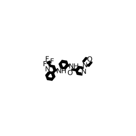 O=C(Nc1cccc(Nc2cc(C(F)(F)F)nc3ccccc23)c1)c1ccnc(N2CCOCC2)c1